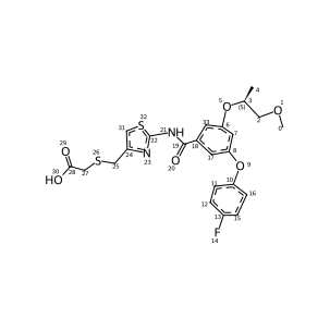 COC[C@H](C)Oc1cc(Oc2ccc(F)cc2)cc(C(=O)Nc2nc(CSCC(=O)O)cs2)c1